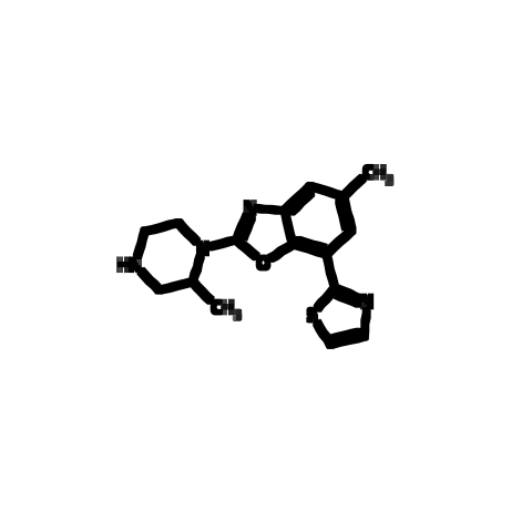 Cc1cc(-c2nccs2)c2oc(N3CCNCC3C)nc2c1